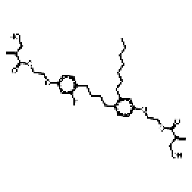 C=C(CO)C(=O)OCCOc1ccc(CCCCc2ccc(OCCOC(=O)C(=C)CO)cc2CCCCCCC)c(F)c1